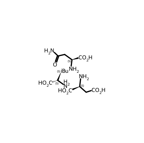 CC[C@H](C)[C@H](N)C(=O)O.NC(=O)C[C@H](N)C(=O)O.N[C@@H](CC(=O)O)C(=O)O